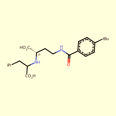 CC(C)CC(N[C@@H](CCNC(=O)c1ccc(C(C)(C)C)cc1)C(=O)O)C(=O)O